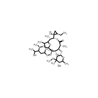 CC[C@@H]1C[C@@]1(C)[C@@H]1OC(=O)[C@H](C)[C@@H](O[C@H]2CC(C)(OC)[C@@H](O)C(C)O2)[C@H](C)[C@@H](OOC(C)CC(C(C)O)N(C)C)[C@@]2(C)CC(C)C(O2)[C@@H]1C